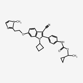 CC(OC(=O)Nc1ccc(-c2c(C#N)c3ccc(OCCc4nccn4C)cc3n2C2CCC2)cc1)C1CC1